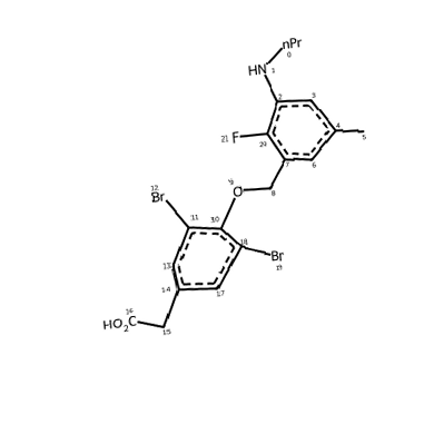 CCCNc1cc(C)cc(COc2c(Br)cc(CC(=O)O)cc2Br)c1F